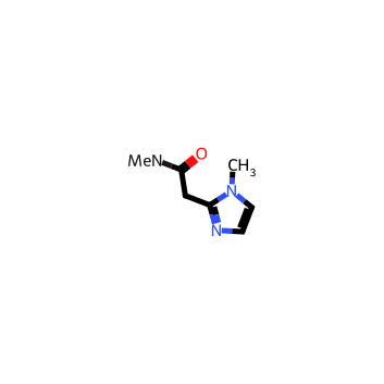 CNC(=O)Cc1nccn1C